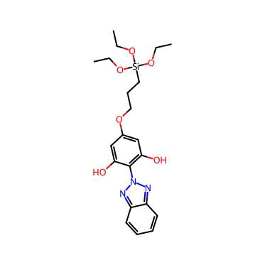 CCO[Si](CCCOc1cc(O)c(-n2nc3ccccc3n2)c(O)c1)(OCC)OCC